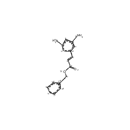 Nc1cc(N)cc(C=CC(=O)OCc2ccccc2)c1